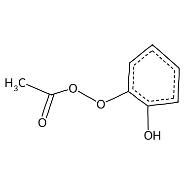 CC(=O)OOc1ccccc1O